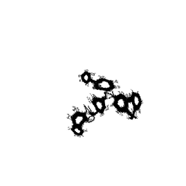 CC1(C)c2ccccc2-c2cc(N(c3ccc(-c4nc5ccc6ccccc6c5o4)cc3)C3C=CC=C(c4ccccc4)C3)ccc21